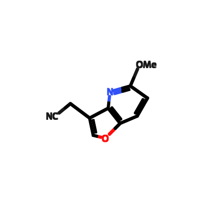 COc1ccc2occ(CC#N)c2n1